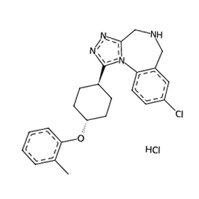 Cc1ccccc1O[C@H]1CC[C@H](c2nnc3n2-c2ccc(Cl)cc2CNC3)CC1.Cl